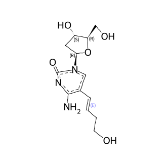 Nc1nc(=O)n([C@H]2C[C@H](O)[C@@H](CO)O2)cc1/C=C/CCO